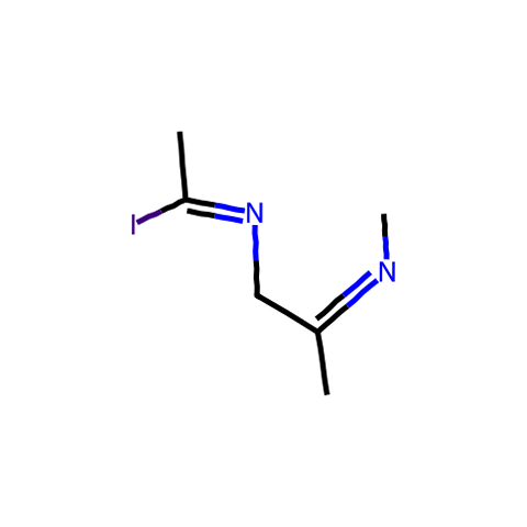 C/N=C(/C)C/N=C(/C)I